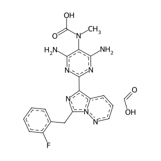 CN(C(=O)O)c1c(N)nc(-c2nc(Cc3ccccc3F)n3ncccc23)nc1N.O=CO